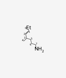 CCC=CC(C)CCCN